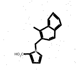 Cc1c(Cn2cccc2C(=O)O)ccc2ccccc12